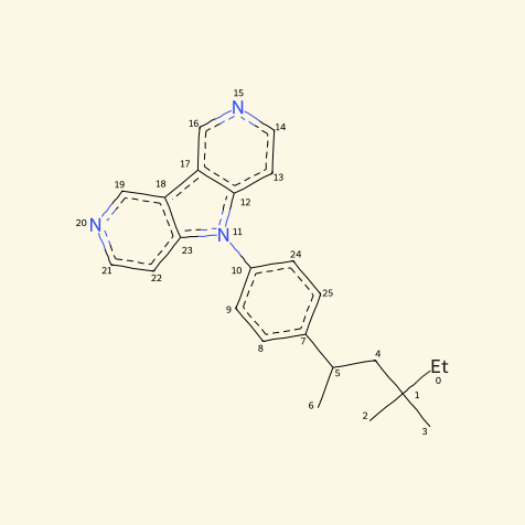 CCC(C)(C)CC(C)c1ccc(-n2c3ccncc3c3cnccc32)cc1